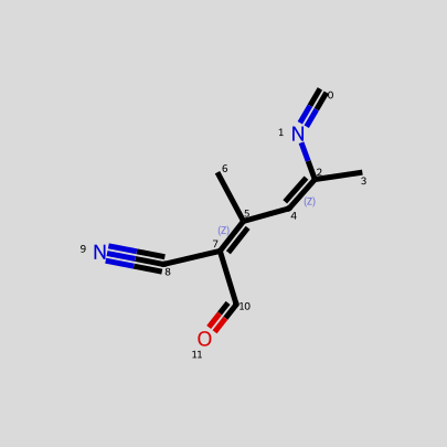 C=N/C(C)=C\C(C)=C(\C#N)C=O